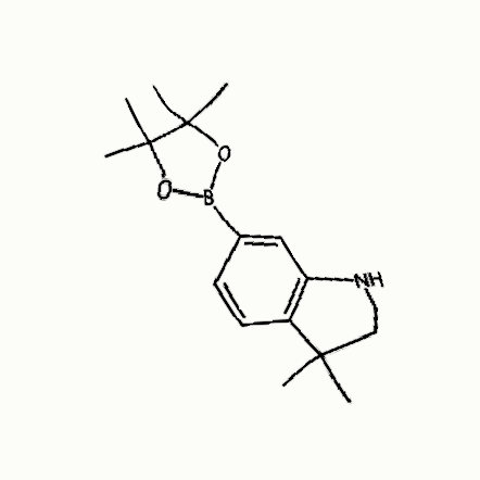 CC1(C)CNc2cc(B3OC(C)(C)C(C)(C)O3)ccc21